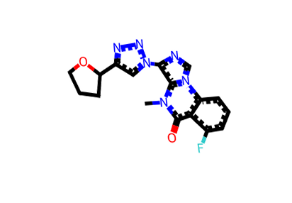 Cn1c(=O)c2c(F)cccc2n2cnc(-n3cc(C4CCCO4)nn3)c12